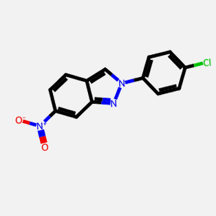 O=[N+]([O-])c1ccc2cn(-c3ccc(Cl)cc3)nc2c1